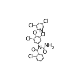 NC(=O)N(C(=O)c1ccccc1Cl)c1cc(Cl)c(Oc2ncc(Cl)cc2Cl)c(Cl)c1